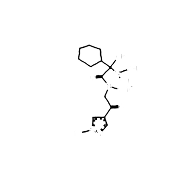 CCn1cc(C(=O)CN(C=O)C(=O)C(C)(C2CCCCC2)N(C)C)cn1